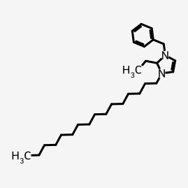 CCCCCCCCCCCCCCCCN1C=CN(Cc2ccccc2)C1CC